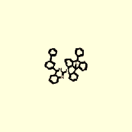 c1ccc(-c2cccc(-c3nc(N4c5ccccc5C56CCC(c7ccccc7)(c7ccccc75)c5cccc4c56)nc4ccccc34)c2)cc1